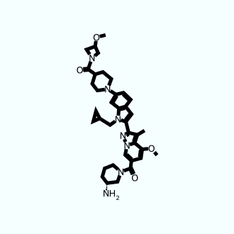 COc1cc(C(=O)N2CCC[C@@H](N)C2)cn2nc(-c3cc4ccc(N5CCC(C(=O)N6CC(OC)C6)CC5)cc4n3CC3CC3)c(C)c12